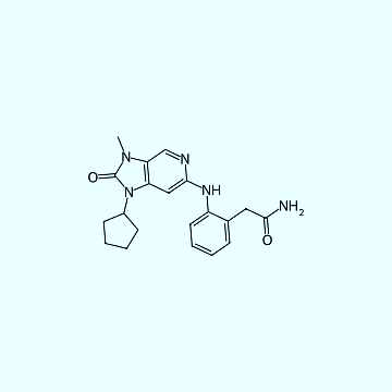 Cn1c(=O)n(C2CCCC2)c2cc(Nc3ccccc3CC(N)=O)ncc21